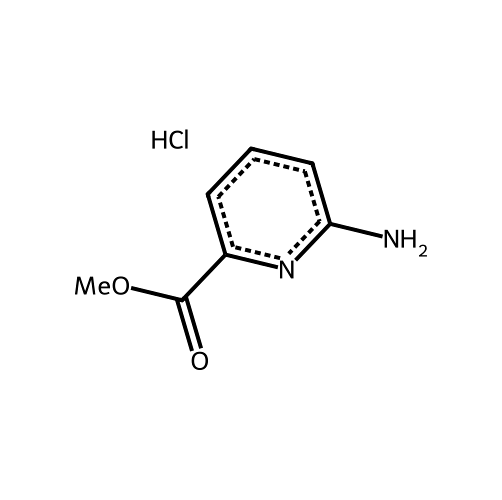 COC(=O)c1cccc(N)n1.Cl